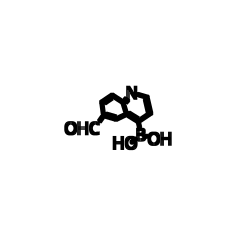 O=Cc1ccc2nccc(B(O)O)c2c1